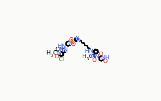 CC(C)n1c(=O)c(Cl)cc2cnc(NC3CCN(S(=O)(=O)c4cnn(CCCCCCCNc5cccc6c5n(C)c(=O)n6C5CCC(=O)NC5=O)c4)CC3)nc21